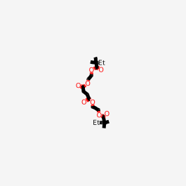 CCC(C)(C)C(=O)OCCOC(=O)CCC(=O)OCCOC(=O)C(C)(C)CC